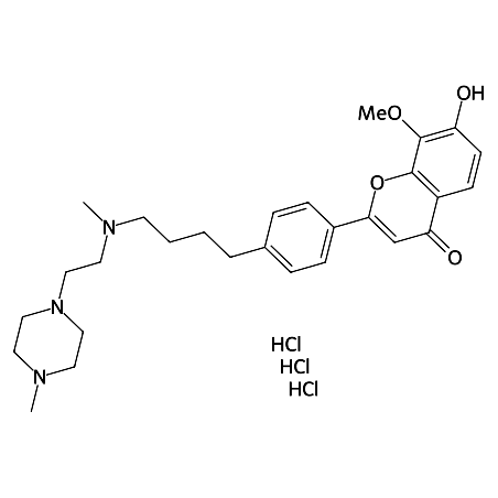 COc1c(O)ccc2c(=O)cc(-c3ccc(CCCCN(C)CCN4CCN(C)CC4)cc3)oc12.Cl.Cl.Cl